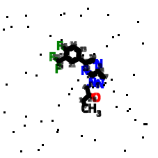 CCC(=O)Cn1ncc2ncc(-c3ccc(F)c(C(F)F)c3)nc21